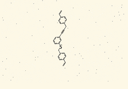 C=Cc1ccc(CC#Cc2cccc(SCc3ccc(C=C)cc3)c2)cc1